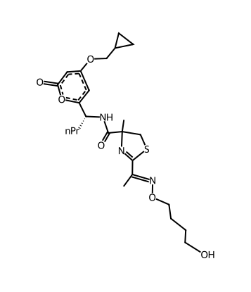 CCC[C@@H](NC(=O)C1(C)CSC(/C(C)=N/OCCCCO)=N1)c1cc(OCC2CC2)cc(=O)o1